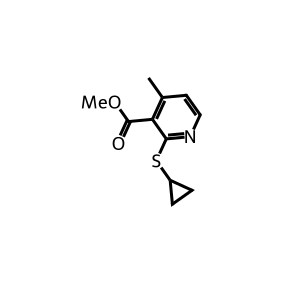 COC(=O)c1c(C)ccnc1SC1CC1